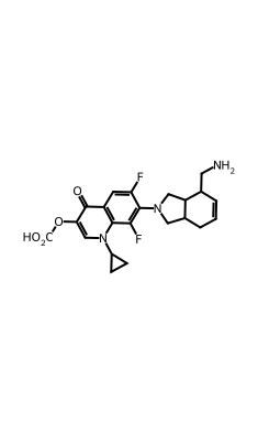 NCC1C=CCC2CN(c3c(F)cc4c(=O)c(OC(=O)O)cn(C5CC5)c4c3F)CC12